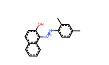 Cc1ccc(/N=N/c2c(O)ccc3ccccc23)c(C)c1